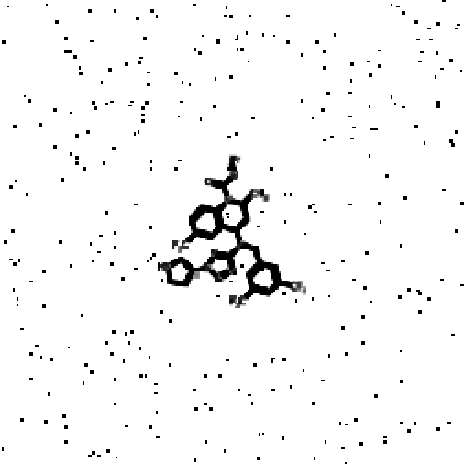 CC(C)OC(=O)N1c2ccc(C(F)(F)F)cc2C(N(Cc2cc(C(F)(F)F)cc(C(F)(F)F)c2)c2nnn([C@H]3CCNC3)n2)CC1C